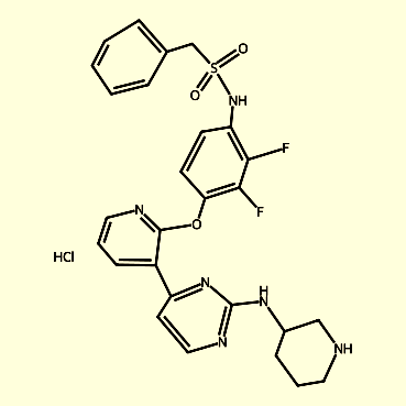 Cl.O=S(=O)(Cc1ccccc1)Nc1ccc(Oc2ncccc2-c2ccnc(NC3CCCNC3)n2)c(F)c1F